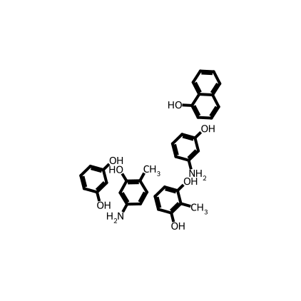 Cc1c(O)cccc1O.Cc1ccc(N)cc1O.Nc1cccc(O)c1.Oc1cccc(O)c1.Oc1cccc2ccccc12